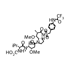 CC[C@H](C)[C@@H]([C@H](CC(=O)N1CCC[C@H]1[C@H](OC)[C@@H](C)C(=O)NS(=O)(=O)Cc1ccc(NC(=O)C(F)(F)F)cc1)OC)N(C)C(=O)[C@@H](NC(=O)O)C(C)C